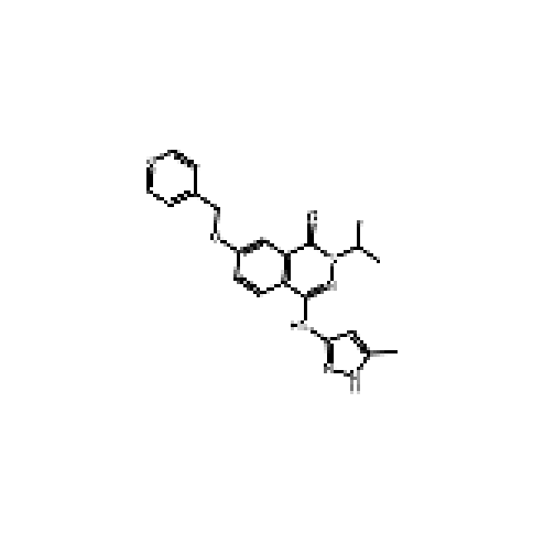 Cc1cc(Nc2nn(C(C)C)c(=O)c3cc(OCc4ccncc4)ccc23)n[nH]1